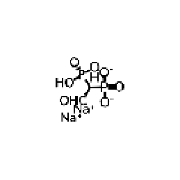 O=CC(P(=O)([O-])[O-])P(=O)(O)O.[Na+].[Na+]